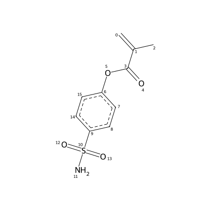 C=C(C)C(=O)Oc1ccc(S(N)(=O)=O)cc1